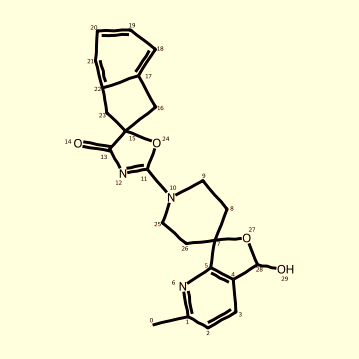 Cc1ccc2c(n1)C1(CCN(C3=NC(=O)C4(Cc5ccccc5C4)O3)CC1)OC2O